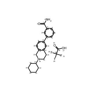 NC(=O)c1cccc(-c2ccc3c(c2)CCN(C2CCCCC2)C3)c1.O=C(O)C(F)(F)F